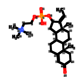 CC=C1C(OP(=O)(O)OCC[N+](C)(C)C)CC2C3CCC4=CC(=O)CC[C@]4(C)C3CC[C@]12C